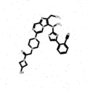 CCc1nc2cnc(N3CCN(CC(=O)N4CC(O)C4)CC3)cn2c1N(C)c1nc(-c2ccccc2C#N)cs1